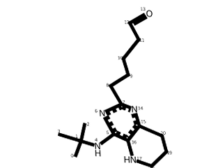 CC(C)(C)Nc1nc(CCCCC=O)nc2c1NCCC2